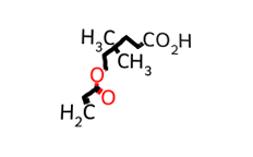 C=CC(=O)OCCC(C)(C)CCC(=O)O